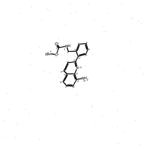 CC(C)(C)OC(=O)NCc1ccccc1-c1ccc2cccc(N)c2n1